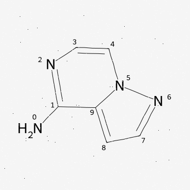 Nc1nccn2nccc12